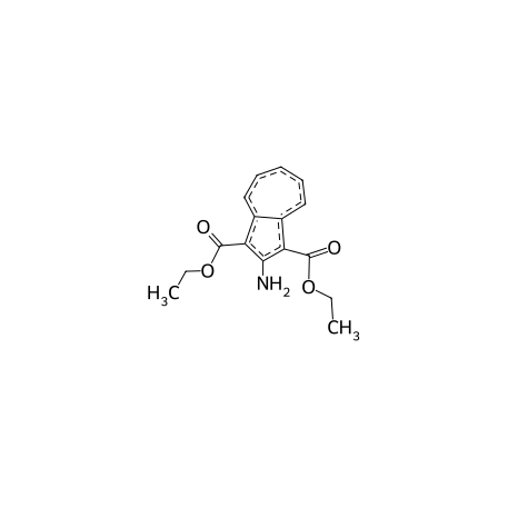 CCOC(=O)c1c2cccccc-2c(C(=O)OCC)c1N